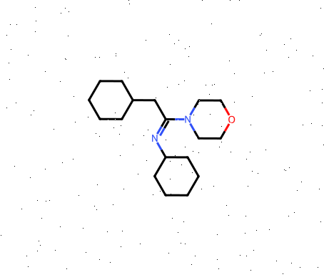 C1CCC(CC(=NC2CCCCC2)N2CCOCC2)CC1